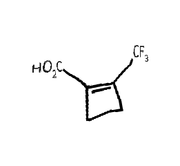 O=C(O)C1=C(C(F)(F)F)CC1